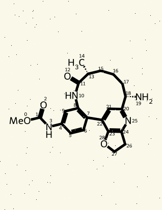 COC(=O)Nc1ccc2c(c1)NC(=O)[C@H](C)CCC[C@H](N)c1cc-2c2c(n1)CCO2